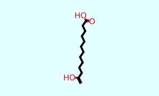 C=C(O)CCCCCCCCCCC(=O)O